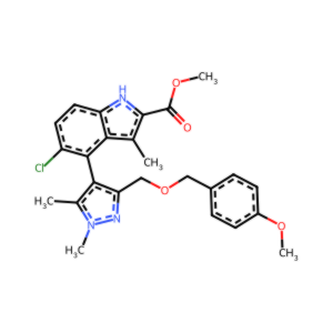 COC(=O)c1[nH]c2ccc(Cl)c(-c3c(COCc4ccc(OC)cc4)nn(C)c3C)c2c1C